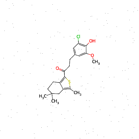 COc1cc(CCC(=O)c2sc(C)c3c2CCC(C)(C)C3)cc(Cl)c1O